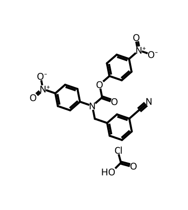 N#Cc1cccc(CN(C(=O)Oc2ccc([N+](=O)[O-])cc2)c2ccc([N+](=O)[O-])cc2)c1.O=C(O)Cl